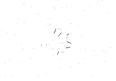 CSc1ccc(C(=O)c2c(C)cc(CC(=O)OCCNC(C)=O)n2C)n1C